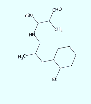 CCCCC(NCC(C)CC1CCCCC1CC)C(C)C=O